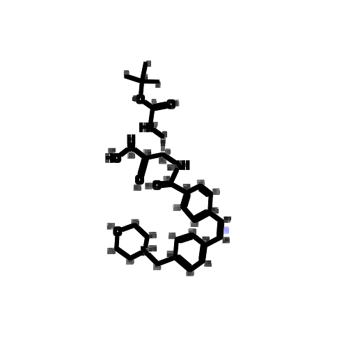 CC(C)(C)OC(=O)NC[C@H](NC(=O)c1ccc(/C=C\c2ccc(CN3CCOCC3)cc2)cc1)C(=O)NO